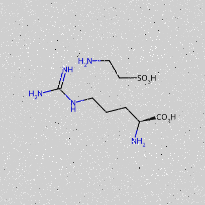 N=C(N)NCCC[C@H](N)C(=O)O.NCCS(=O)(=O)O